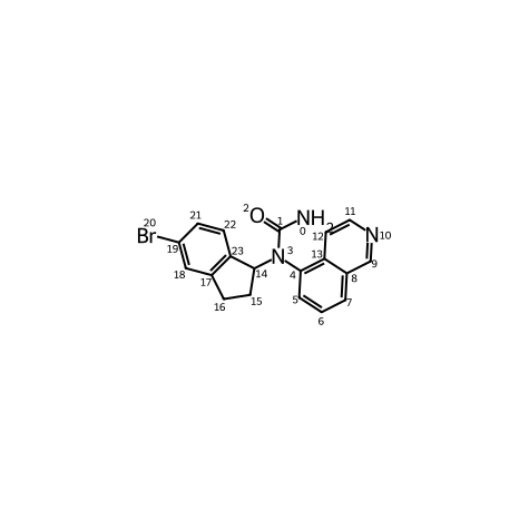 NC(=O)N(c1cccc2cnccc12)C1CCc2cc(Br)ccc21